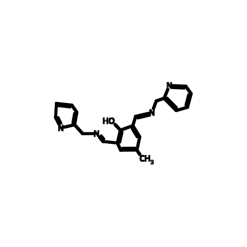 Cc1cc(C=NCc2ccccn2)c(O)c(C=NCc2ccccn2)c1